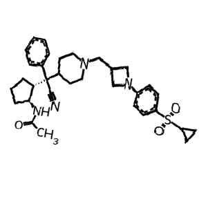 CC(=O)N[C@H]1CCC[C@@H]1C(C#N)(c1ccccc1)C1CCN(CC2CN(c3ccc(S(=O)(=O)C4CC4)cc3)C2)CC1